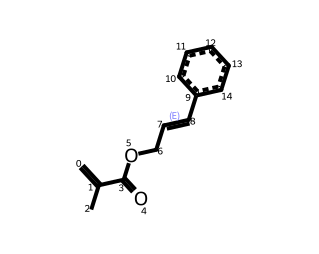 C=C(C)C(=O)OC/C=C/c1ccccc1